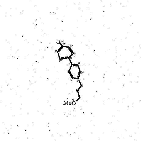 COCCCc1ccc(-c2ccc(Cl)cc2)cc1